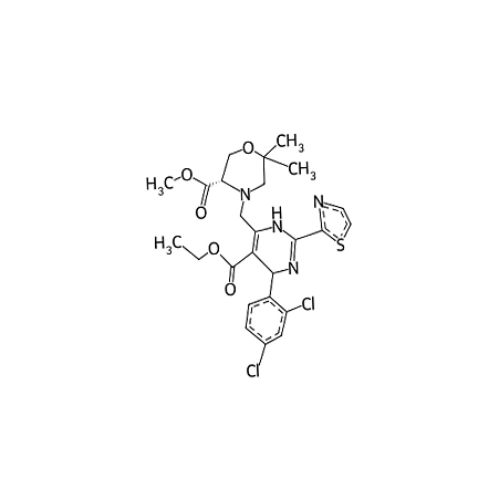 CCOC(=O)C1=C(CN2CC(C)(C)OC[C@H]2C(=O)OC)NC(c2nccs2)=NC1c1ccc(Cl)cc1Cl